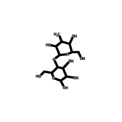 CC1C(O)C(CO)OC(OC2C(CO)OC(O)C(O)C2O)C1O